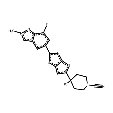 Cn1cc2cc(-c3nc4sc(C5(O)CCB(C#N)CC5)cc4s3)cc(F)c2n1